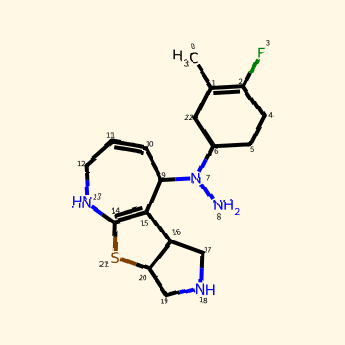 CC1=C(F)CCC(N(N)C2C=CCNC3=C2C2CNCC2S3)C1